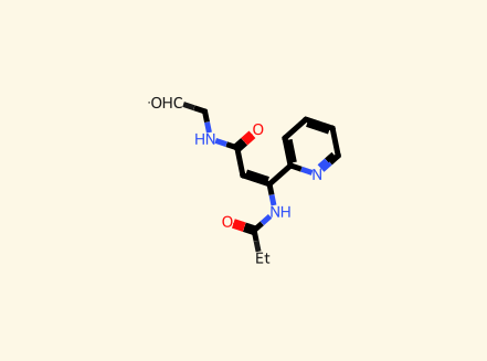 CCC(=O)NC(=CC(=O)NC[C]=O)c1ccccn1